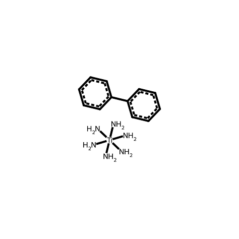 [NH2][Ti]([NH2])([NH2])([NH2])([NH2])[NH2].c1ccc(-c2ccccc2)cc1